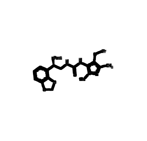 CCCCC[C@@H](CNC(=O)Nc1c(OC(C)C)c(C)nn1C(C)(C)C)c1cccc2c1OCO2